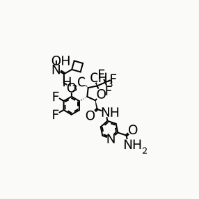 C[C@H]1[C@@H](c2ccc(F)c(F)c2OC/C(=N/O)C2CCC2)[C@H](C(=O)Nc2ccnc(C(N)=O)c2)O[C@@]1(C)C(F)(F)F